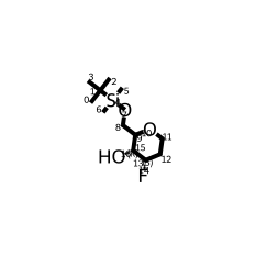 CC(C)(C)[Si](C)(C)OCC1OCC[C@H](F)[C@@H]1O